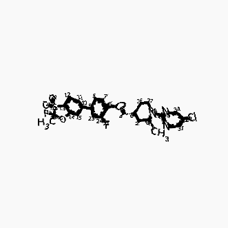 C[C@H]1C[C@H](COc2ccc(-c3ccc4c(c3)O[C@](C)(F)S4(=O)=O)cc2F)CCN1c1ncc(Cl)cn1